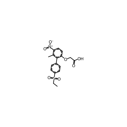 CCS(=O)(=O)c1ccc(-c2c(OCC(=O)O)ccc([N+](=O)[O-])c2C)cc1